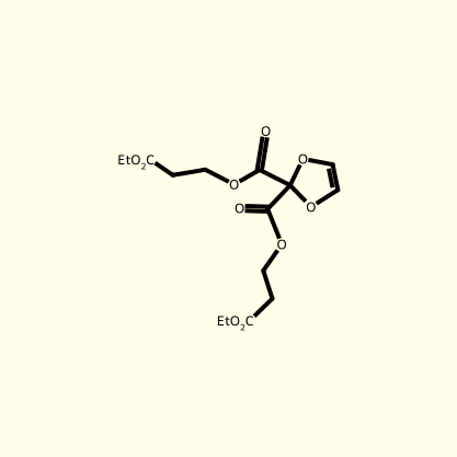 CCOC(=O)CCOC(=O)C1(C(=O)OCCC(=O)OCC)OC=CO1